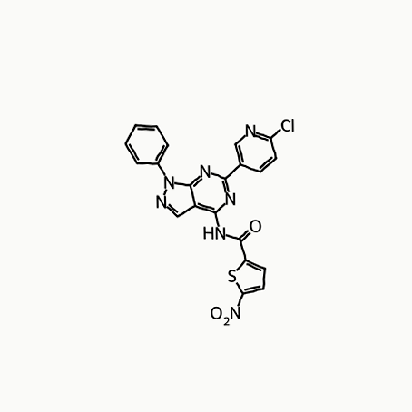 O=C(Nc1nc(-c2ccc(Cl)nc2)nc2c1cnn2-c1ccccc1)c1ccc([N+](=O)[O-])s1